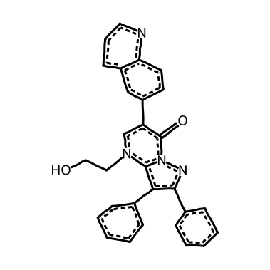 O=c1c(-c2ccc3ncccc3c2)cn(CCO)c2c(-c3ccccc3)c(-c3ccccc3)nn12